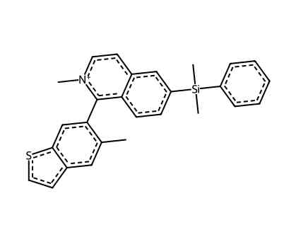 Cc1cc2ccsc2cc1-c1c2ccc([Si](C)(C)c3ccccc3)cc2cc[n+]1C